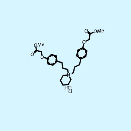 COC(=O)COc1ccc(CCC[N+]2(CCCc3ccc(OCC(=O)OC)cc3)CCCCC2)cc1.Cl.[Cl-]